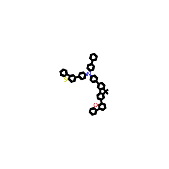 CC1(C)c2ccc(-c3ccc(N(c4ccc(-c5ccccc5)cc4)c4ccc(-c5ccc6sc7ccccc7c6c5)cc4)cc3)cc2-c2ccc(-c3cccc4c3oc3ccccc34)cc21